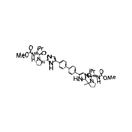 COC(=O)N[C@H](C(=O)N1CCC[C@H]1c1ncc(-c2ccc(-c3ccc(-c4cnc(C5(C)CCCN5C(=O)[C@@H](NC(=O)OC)C(C)C)[nH]4)cc3)cc2)[nH]1)C(C)C